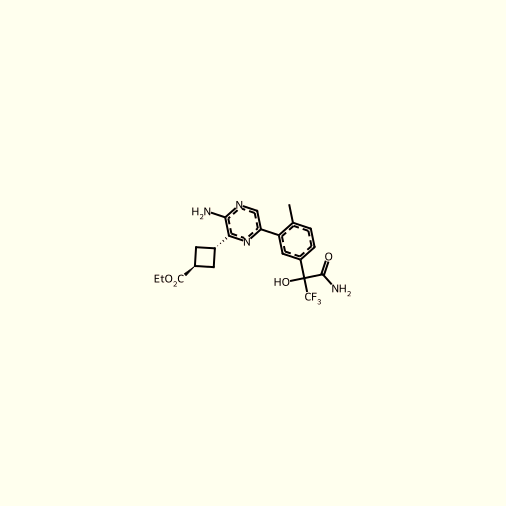 CCOC(=O)[C@H]1C[C@H](c2nc(-c3cc(C(O)(C(N)=O)C(F)(F)F)ccc3C)cnc2N)C1